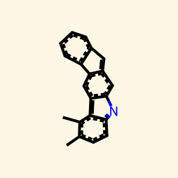 Cc1ccc2c(c1C)=c1cc3c(cc1N=2)=Cc1ccccc1-3